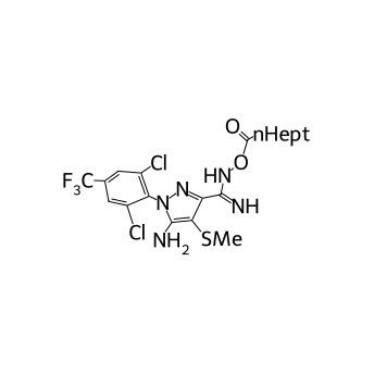 CCCCCCCC(=O)ONC(=N)c1nn(-c2c(Cl)cc(C(F)(F)F)cc2Cl)c(N)c1SC